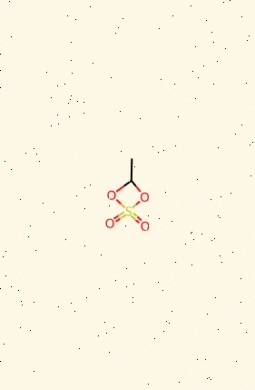 CC1OS(=O)(=O)O1